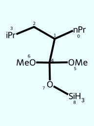 CCCC(CC(C)C)C(OC)(OC)O[SiH3]